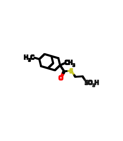 CC1CC2CC(C1)CC(C)(C(=O)SCCS(=O)(=O)O)C2